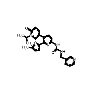 Cc1ccc(-c2nc(NC(=O)NCc3cccnc3)ccc2-c2ccc(=O)n(C(C)C)c2)o1